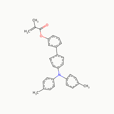 C=C(C)C(=O)Oc1cccc(-c2ccc(N(c3ccc(C)cc3)c3ccc(C)cc3)cc2)c1